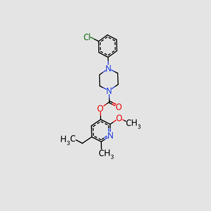 CCc1cc(OC(=O)N2CCN(c3cccc(Cl)c3)CC2)c(OC)nc1C